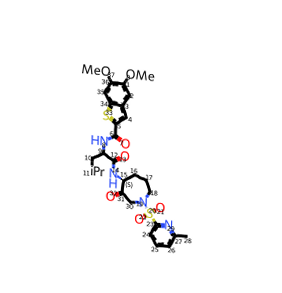 COc1cc2cc(C(=O)NC(CC(C)C)C(=O)N[C@H]3CCCN(S(=O)(=O)c4cccc(C)n4)CC3=O)sc2cc1OC